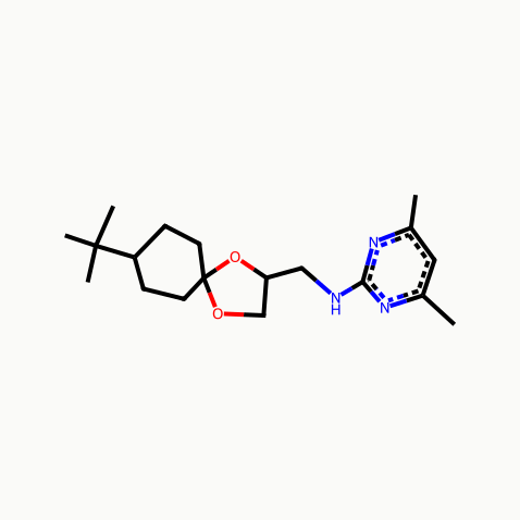 Cc1cc(C)nc(NCC2COC3(CCC(C(C)(C)C)CC3)O2)n1